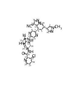 Cn1cc(-c2cc(-c3cnc(N4[C@@H]5C[C@@H]6C[C@H]4C[C@@](NC(=O)c4ncccc4Cl)(C6)C5)cn3)c3c(C#N)cnn3c2)cn1